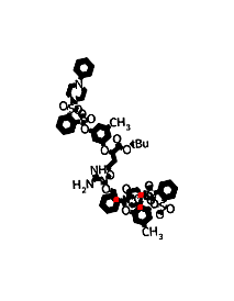 Cc1cc(OC(CCON(OCCC(Oc2cc(C)cc(OS(=O)(=O)c3ccccc3S(=O)(=O)N3CCN(c4ccccc4)CC3)c2)C(=O)OC(C)(C)C)C(=N)N)C(=O)OC(C)(C)C)cc(OS(=O)(=O)c2ccccc2S(=O)(=O)N2CCN(c3ccccc3)CC2)c1